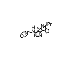 CC(C)c1nc2sc3c(NCCN4CCOCC4)ncnc3c2c2c1CCC2